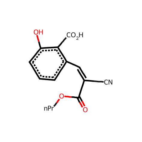 CCCOC(=O)C(C#N)=Cc1cccc(O)c1C(=O)O